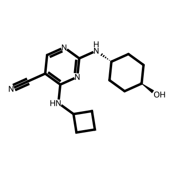 N#Cc1cnc(N[C@H]2CC[C@H](O)CC2)nc1NC1CCC1